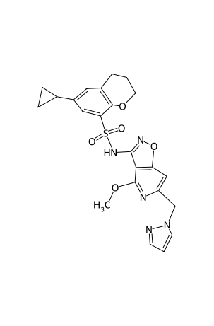 COc1nc(Cn2cccn2)cc2onc(NS(=O)(=O)c3cc(C4CC4)cc4c3OCCC4)c12